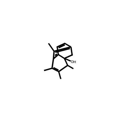 CC1=C(C)C(C)C2(O)Cc3ccc2c1c3C